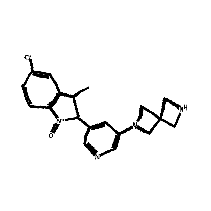 CC1c2cc(Cl)ccc2[N+](=O)C1c1cncc(N2CC3(CNC3)C2)c1